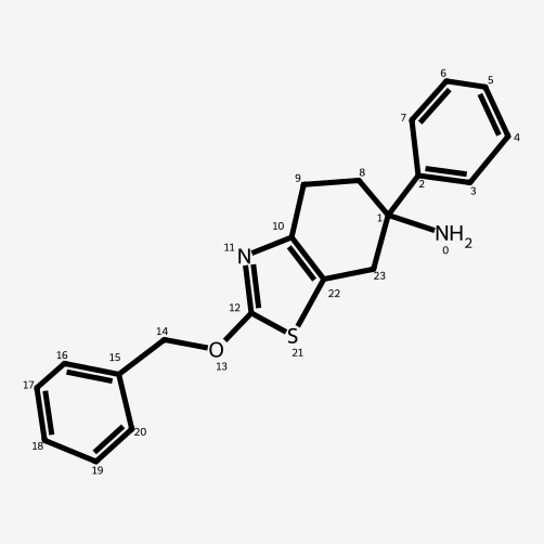 NC1(c2ccccc2)CCc2nc(OCc3ccccc3)sc2C1